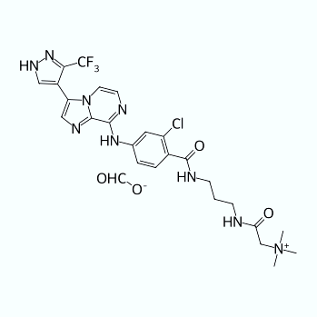 C[N+](C)(C)CC(=O)NCCCNC(=O)c1ccc(Nc2nccn3c(-c4c[nH]nc4C(F)(F)F)cnc23)cc1Cl.O=C[O-]